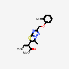 CO/C=C(\C(=O)OC)c1sc2nc(COc3ccccc3C#N)nn2c1C